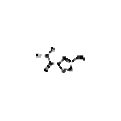 CCN(CC)C(=O)n1nnc(C)n1